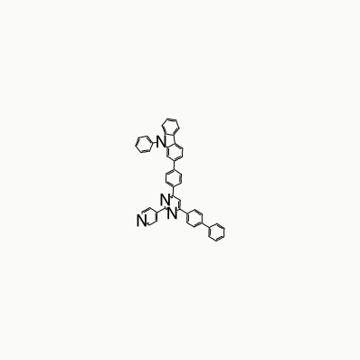 c1ccc(-c2ccc(-c3cc(-c4ccc(-c5ccc6c7ccccc7n(-c7ccccc7)c6c5)cc4)nc(-c4ccncc4)n3)cc2)cc1